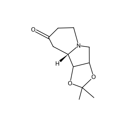 CC1(C)OC2CN3CCC(=O)C[C@H]3C2O1